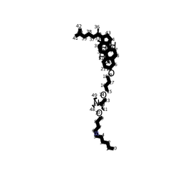 CCCCC/C=C\CCCOC[C@H](COCCCCO[C@H]1CC[C@@]2(C)C(=CC[C@@H]3[C@@H]2CC[C@]2(C)C([C@H](C)CCCC(C)C)CC[C@@H]32)C1)N(C)C